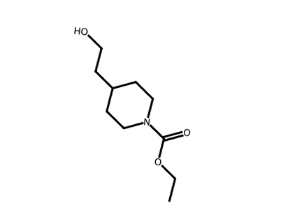 CCOC(=O)N1CCC(CCO)CC1